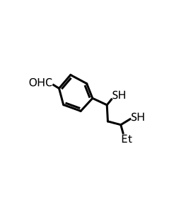 CCC(S)CC(S)c1ccc(C=O)cc1